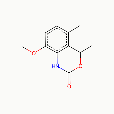 COc1ccc(C)c2c1NC(=O)OC2C